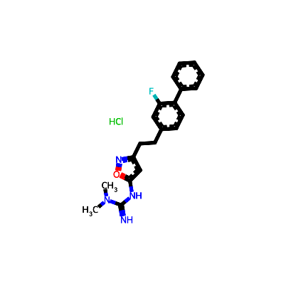 CN(C)C(=N)Nc1cc(CCc2ccc(-c3ccccc3)c(F)c2)no1.Cl